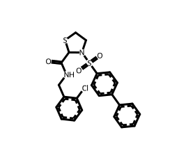 O=C(NCc1ccccc1Cl)C1SCCN1S(=O)(=O)c1ccc(-c2ccccc2)cc1